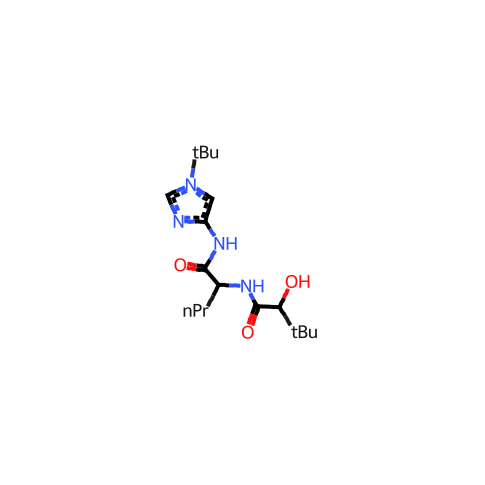 CCCC(NC(=O)C(O)C(C)(C)C)C(=O)Nc1cn(C(C)(C)C)cn1